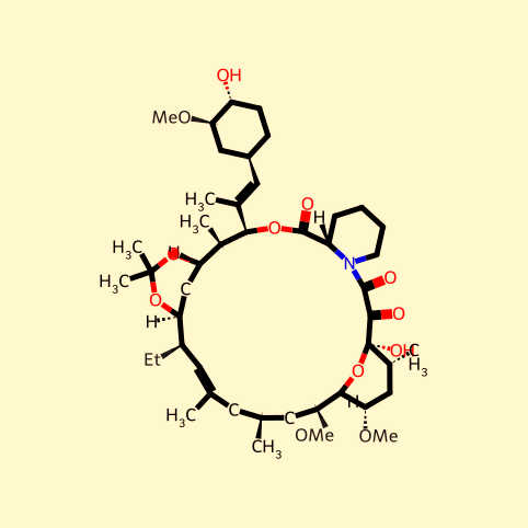 CC[C@@H]1/C=C(\C)C[C@H](C)C[C@H](OC)[C@H]2O[C@@](O)(C(=O)C(=O)N3CCCC[C@H]3C(=O)O[C@H](/C(C)=C/[C@@H]3CC[C@@H](O)[C@H](OC)C3)[C@H](C)[C@@H]3C[C@@H]1OC(C)(C)O3)[C@H](C)C[C@@H]2OC